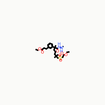 CCOC(=O)CCc1cccc(C(C)(CCCC(C)(C)CS(=O)(=O)CC(=O)OCC)C(=O)NNC)c1